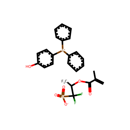 C=C(C)C(=O)OC(C(F)(F)F)C(F)(F)S(=O)(=O)[O-].Oc1ccc([S+](c2ccccc2)c2ccccc2)cc1